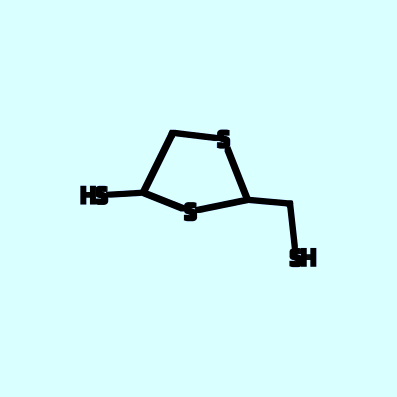 SCC1SCC(S)S1